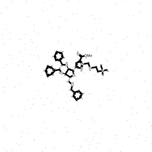 COC(=O)c1cc([C@@H]2O[C@H](COCc3ccccc3)[C@@H](OCc3ccccc3)[C@H]2OCc2ccccc2)nn1COCC[Si](C)(C)C